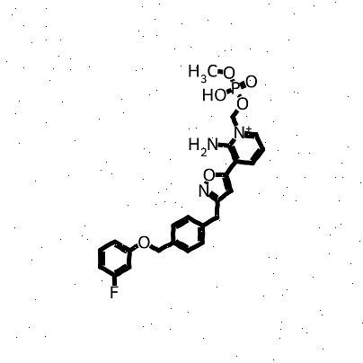 COP(=O)(O)OC[n+]1cccc(-c2cc(Cc3ccc(COc4cccc(F)c4)cc3)no2)c1N